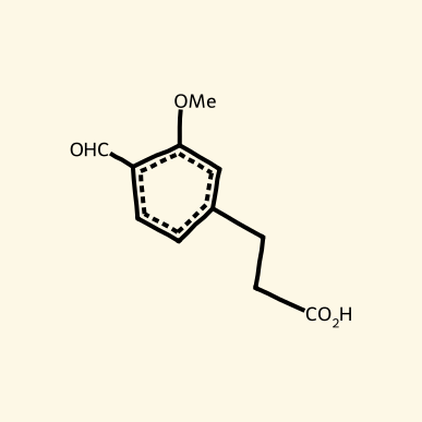 COc1cc(CCC(=O)O)ccc1C=O